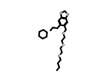 C1CCCCC1.CCCCOCCOCCOCc1cc2c(cc1CCC)OCO2